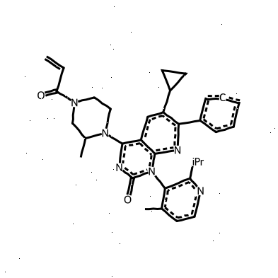 C=CC(=O)N1CCN(c2nc(=O)n(-c3c(C)ccnc3C(C)C)c3nc(-c4ccccc4)c(C4CC4)cc23)C(C)C1